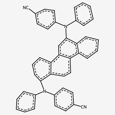 N#Cc1ccc(N(c2ccccc2)c2cc3c4cccc(N(c5ccccc5)c5ccc(C#N)cc5)c4ccc3c3ccccc23)cc1